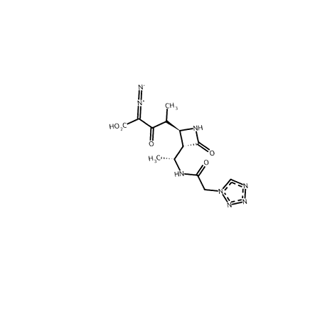 CC(C(=O)C(=[N+]=[N-])C(=O)O)[C@H]1NC(=O)[C@@H]1[C@@H](C)NC(=O)Cn1cnnn1